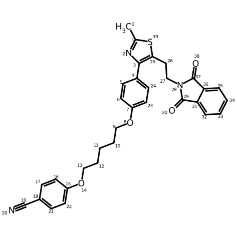 Cc1nc(-c2ccc(OCCCCCOc3ccc(C#N)cc3)cc2)c(CCN2C(=O)c3ccccc3C2=O)s1